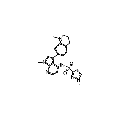 CN1CCCc2ccc(-c3cn(C)c4nccc(NS(=O)(=O)c5ccn(C)n5)c34)cc21